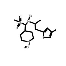 CCN(C(C)Cc1cc(C)cs1)C(C1CCNCC1)S(C)(=O)=O.Cl